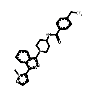 Cn1nccc1-c1nnc(N2CCC(NC(=O)c3ccc(CC(F)(F)F)cc3)CC2)c2ccccc12